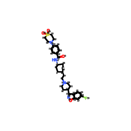 O=C(N[C@H]1CC[C@H](CCN2CCC(c3noc4cc(F)ccc34)CC2)CC1)c1ccc(N2CCS(=O)(=O)CC2)cc1